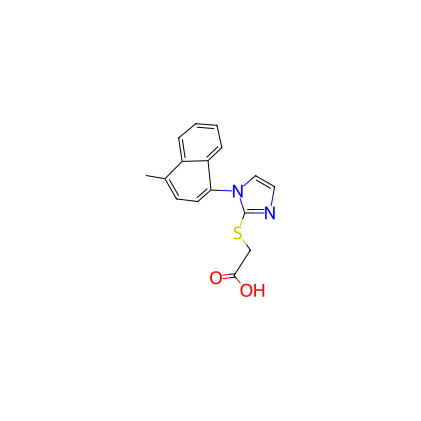 Cc1ccc(-n2ccnc2SCC(=O)O)c2ccccc12